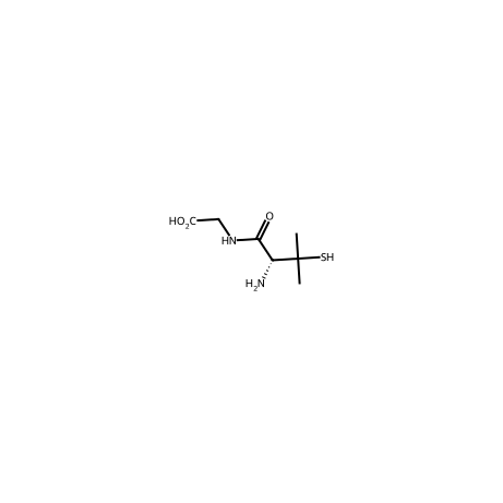 CC(C)(S)[C@H](N)C(=O)NCC(=O)O